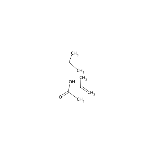 C=CC.CC(=O)O.CCC